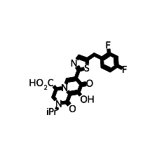 CC(C)N1CC(C(=O)O)n2cc(-c3ncc(Cc4ccc(F)cc4F)s3)c(=O)c(O)c2C1=O